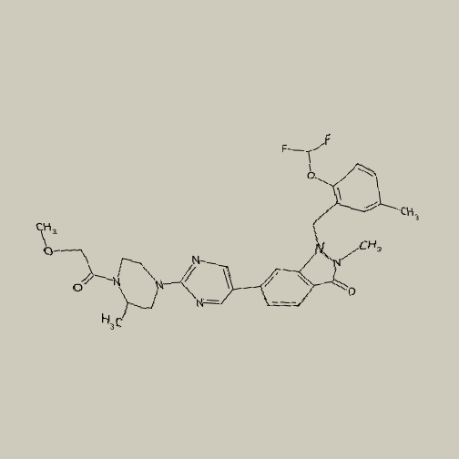 COCC(=O)N1CCN(c2ncc(-c3ccc4c(=O)n(C)n(Cc5cc(C)ccc5OC(F)F)c4c3)cn2)CC1C